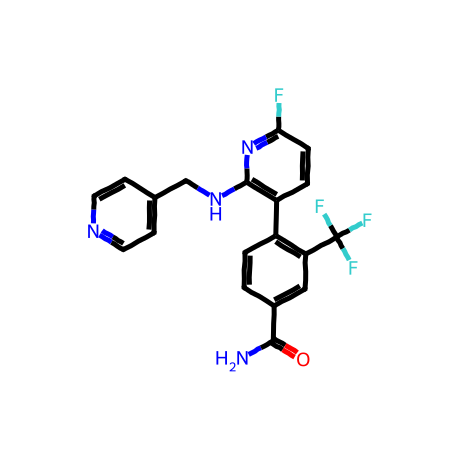 NC(=O)c1ccc(-c2ccc(F)nc2NCc2ccncc2)c(C(F)(F)F)c1